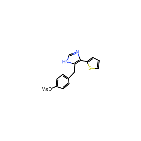 COc1ccc(Cc2[nH]cnc2-c2cccs2)cc1